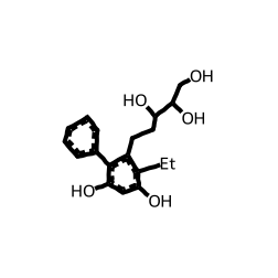 CCc1c(O)cc(O)c(-c2ccccc2)c1CCC(O)C(O)CO